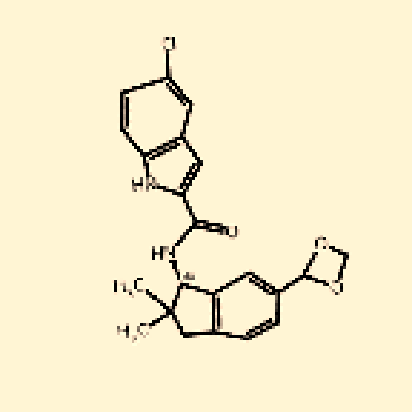 CC1(C)Cc2ccc(C3OCO3)cc2[C@@H]1NC(=O)c1cc2cc(Cl)ccc2[nH]1